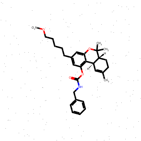 CC1=C[C@H]2c3c(OC(=O)NCc4ccccc4)cc(CCCCCO[N+](=O)[O-])cc3OC(C)(C)[C@@H]2CC1